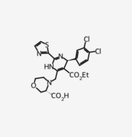 CCOC(=O)C1=C(CN2CCOC[C@H]2C(=O)O)NC(c2nccs2)=N[C@H]1c1ccc(Cl)c(Cl)c1